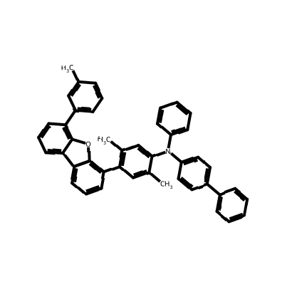 Cc1cccc(-c2cccc3c2oc2c(-c4cc(C)c(N(c5ccccc5)c5ccc(-c6ccccc6)cc5)cc4C)cccc23)c1